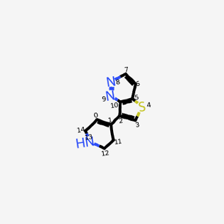 C1=C(c2csc3ccnnc23)CCNC1